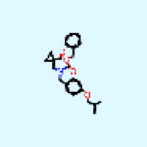 CC(C)COc1ccc(CN(CC2(C=O)CC2)C(=O)OCc2ccccc2)cc1